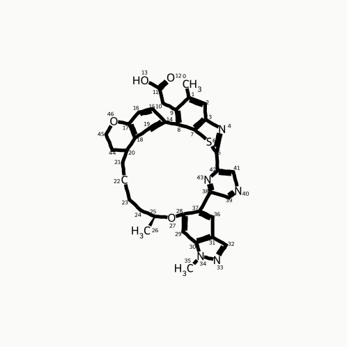 Cc1cc2nc3sc2c(c1CC(=O)O)-c1ccc2c(c1)C(CCCC[C@H](C)Oc1cc4c(cnn4C)cc1-c1cncc-3n1)CCO2